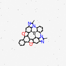 Cc1nc2cc3oc4c5ccccc5c5oc6cc7nc(C)n8c7c7c6c5c4c3c3c2n1-c1cccc-8c1B37